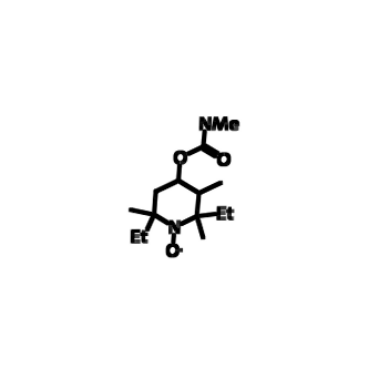 CCC1(C)CC(OC(=O)NC)C(C)C(C)(CC)N1[O]